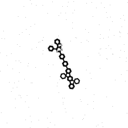 c1ccc(-c2nc(-c3ccc(-c4ccc(-c5ccc6c(c5)C5(CCCCC5)c5cc7c(cc5-6)C5(CCCCC5)c5ccccc5-7)cc4)cc3)nc3sc4ccccc4c23)cc1